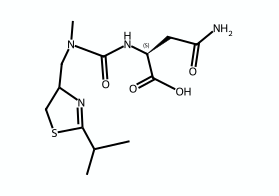 CC(C)C1=NC(CN(C)C(=O)N[C@@H](CC(N)=O)C(=O)O)CS1